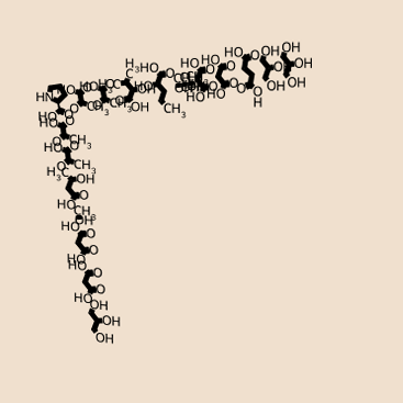 CC(=O)C(=O)O.CC(=O)C(=O)O.CC(=O)C(=O)O.CC(=O)C(=O)O.CC(C)C(O)C(=O)O.CC(O)CC(=O)O.CCCC(O)C(=O)O.CO.CO.CO.CO.O=C(O)CC(=O)O.O=C(O)CC(=O)O.O=C(O)CC(=O)O.O=C(O)CC(=O)O.O=C(O)CCC(=O)O.O=C(O)[C@@H]1CCCN1.OCC(O)CO.OCC(O)CO.OCC(O)CO